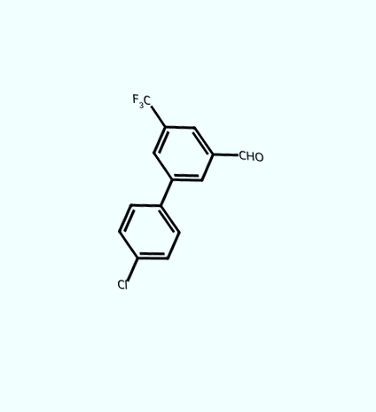 O=Cc1cc(-c2ccc(Cl)cc2)cc(C(F)(F)F)c1